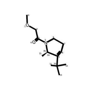 COCC(=O)N1CCC=C(C(C)(C)C)[C@H]1C